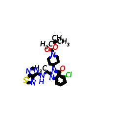 CC(Nc1ncnc2scnc12)c1nc2cccc(Cl)c2c(=O)n1C1CCN(C(=O)OC(C)(C)C)CC1